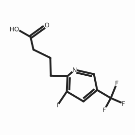 O=C(O)CCCc1ncc(C(F)(F)F)cc1I